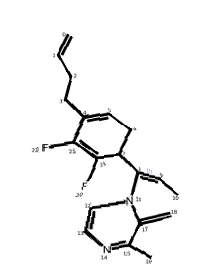 C=CCCC1=CCC(/C(=C/C)N2C=CN=C(C)C2=C)C(F)=C1F